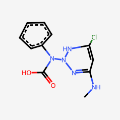 CNC1=NN(N(C(=O)O)c2ccccc2)NC(Cl)=C1